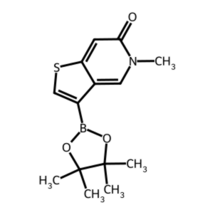 Cn1cc2c(B3OC(C)(C)C(C)(C)O3)csc2cc1=O